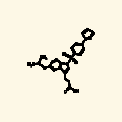 CC(C)Oc1ccc2c(c1)c(CCC(=O)O)cn2S(=O)(=O)c1ccc(-n2cccn2)cc1